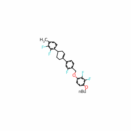 CCCCOc1ccc(OCc2ccc(C3=CCC(c4ccc(C)c(F)c4F)CC3)cc2F)c(F)c1F